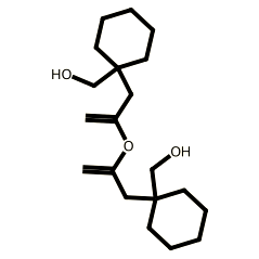 C=C(CC1(CO)CCCCC1)OC(=C)CC1(CO)CCCCC1